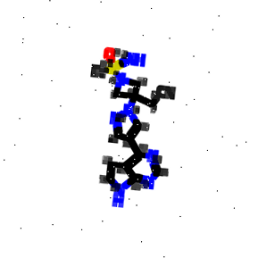 CCS(=N)(=O)N1CC(CC#N)(n2cc(-c3ncnc4[nH]ccc34)cn2)C1